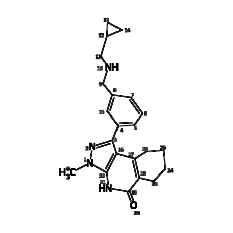 Cn1nc(-c2cccc(CNCC3CC3)c2)c2c3c(c(=O)[nH]c21)CCCC3